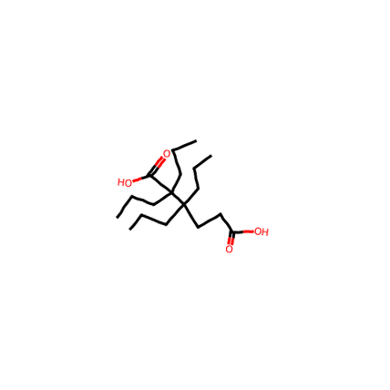 CCCC(CCC)(CCC(=O)O)C(CCC)(CCC)C(=O)O